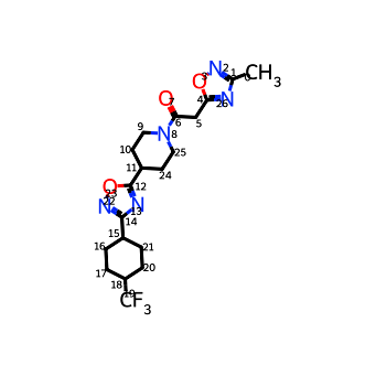 Cc1noc(CC(=O)N2CCC(c3nc(C4CCC(C(F)(F)F)CC4)no3)CC2)n1